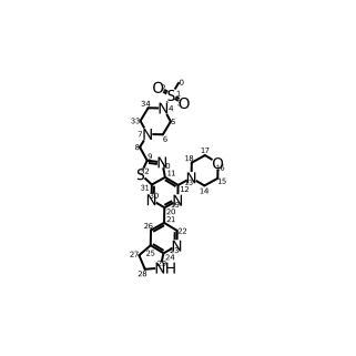 CS(=O)(=O)N1CCN(Cc2nc3c(N4CCOCC4)nc(-c4cnc5c(c4)CCN5)nc3s2)CC1